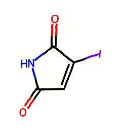 O=C1C=C(I)C(=O)N1